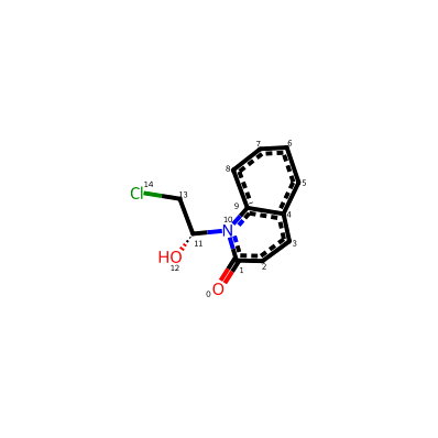 O=c1ccc2ccccc2n1[C@H](O)CCl